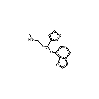 CNCC[C@@H](Oc1cccc2ccoc12)c1ccsc1